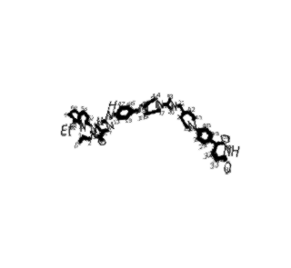 C=CCn1c(=O)c2cnc(Nc3ccc(N4CCN(C5CN(CC6CCN(c7ccc(C8CCC(=O)NC8=O)cc7)CC6)C5)CC4)cc3)nc2n1-c1ccc2c(n1)C(CC)CC2